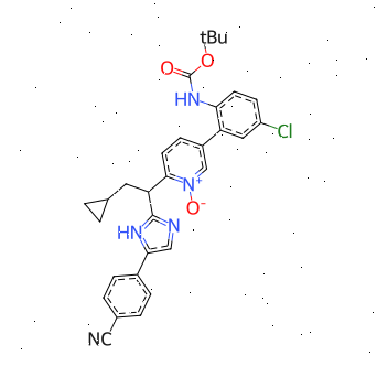 CC(C)(C)OC(=O)Nc1ccc(Cl)cc1-c1ccc(C(CC2CC2)c2ncc(-c3ccc(C#N)cc3)[nH]2)[n+]([O-])c1